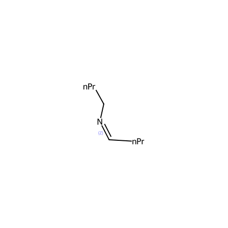 CCC/C=N\CCCC